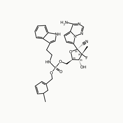 CC1C=CC=C(COP(=O)(NCCc2c[nH]c3ccccc23)OC[C@H]2O[C@@](C#N)(c3ccc4c(N)ncnn34)[C@](C)(F)[C@@H]2O)C1